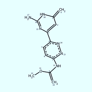 C=C1C=C(c2ccc(NC(=C)OC)nn2)N=C(N)N1